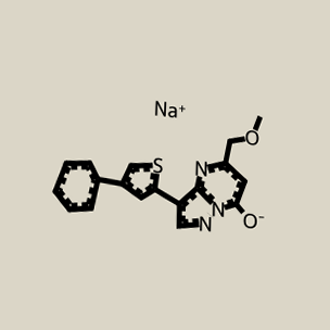 COCc1cc([O-])n2ncc(-c3cc(-c4ccccc4)cs3)c2n1.[Na+]